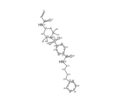 C=CC(=O)NC1CC(C)(C)N(S(=O)(=O)c2ccc(C(=O)NCCCCc3ccccc3)cc2)C(C)(C)C1